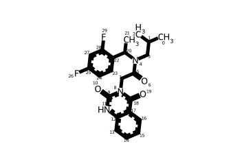 CC(C)CN(C(=O)Cn1c(=O)[nH]c2ccccc2c1=O)C(C)c1ccc(F)cc1F